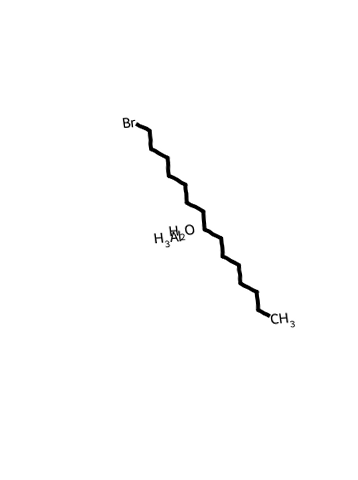 CCCCCCCCCCCCCCCBr.O.[AlH3]